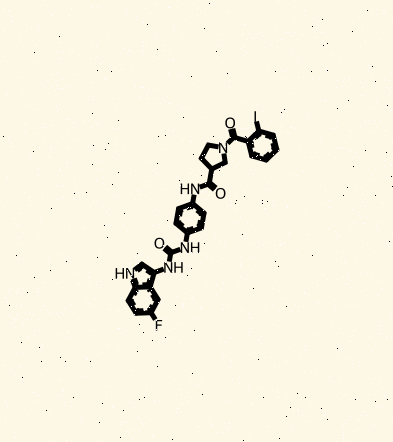 O=C(Nc1ccc(NC(=O)C2CCN(C(=O)c3ccccc3I)C2)cc1)Nc1c[nH]c2ccc(F)cc12